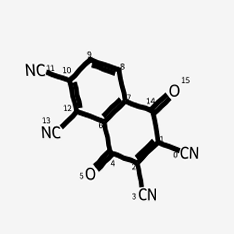 N#CC1=C(C#N)C(=O)c2c(ccc(C#N)c2C#N)C1=O